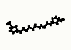 CCCN1CCN(CCOCCOCCOCCN2CCN(CCC)C2)C1